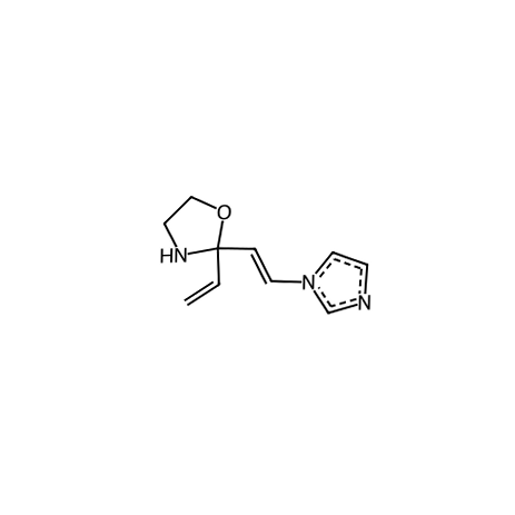 C=CC1(C=Cn2ccnc2)NCCO1